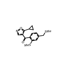 CSCc1ccc(C(=O)c2cnoc2C2CC2)c(SC)c1